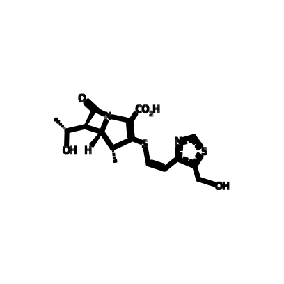 C[C@@H](O)[C@H]1C(=O)N2C(C(=O)O)=C(S/C=C\c3ncsc3CO)[C@H](C)[C@H]12